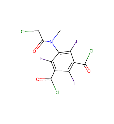 CN(C(=O)CCl)c1c(I)c(C(=O)Cl)c(I)c(C(=O)Cl)c1I